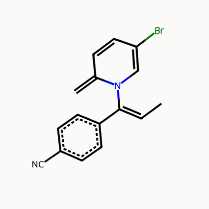 C=C1C=CC(Br)=CN1/C(=C\C)c1ccc(C#N)cc1